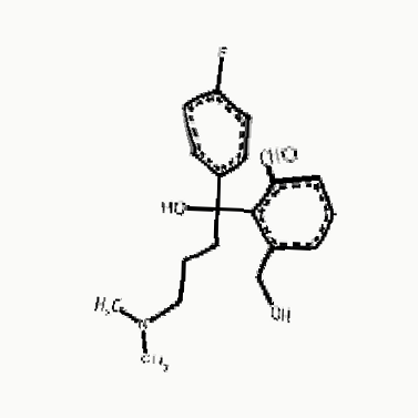 CN(C)CCCC(O)(c1ccc(F)cc1)c1c(C=O)cccc1CO